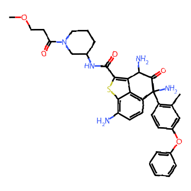 COCCC(=O)N1CCCC(NC(=O)c2sc3c(N)ccc4c3c2C(N)C(=O)C4(N)c2ccc(Oc3ccccc3)cc2C)C1